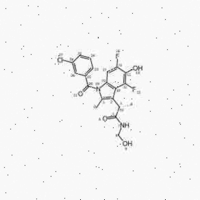 Cc1c([C@H](C)C(=O)NCO)c2c(F)c(O)c(F)cc2n1C(=O)c1cccc(Cl)c1